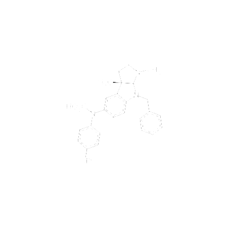 CC(C)c1ccc(N(C(=O)O)c2ccc3c(c2)[C@]2(C)CCN(C)C2N3Cc2ccccc2)cc1